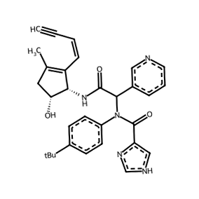 C#C/C=C\C1=C(C)C[C@@H](O)[C@H]1NC(=O)C(c1cccnc1)N(C(=O)c1c[nH]cn1)c1ccc(C(C)(C)C)cc1